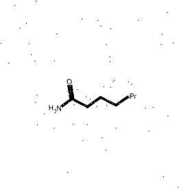 CC(C)CCCC(N)=O